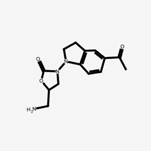 CC(=O)c1ccc2c(c1)CCN2N1CC(CN)OC1=O